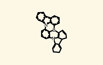 C1=CC2=C3C(C1)C1=CCCC=C1N3c1cccc3c1B2c1cccc2c4ccccc4n-3c12